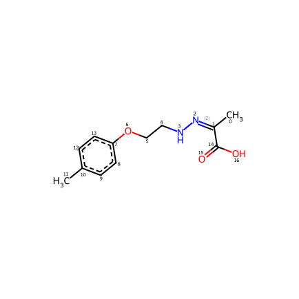 C/C(=N/NCCOc1ccc(C)cc1)C(=O)O